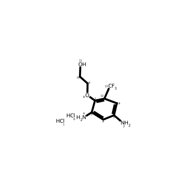 Cl.Cl.Nc1cc(N)c(OCCO)c(C(F)(F)F)c1